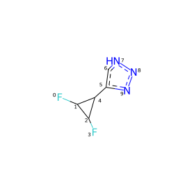 FC1C(F)C1c1c[nH]nn1